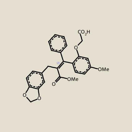 COC(=O)/C(Cc1ccc2c(c1)OCO2)=C(/c1ccccc1)c1ccc(OC)cc1OCC(=O)O